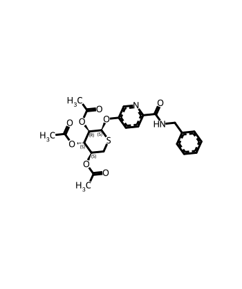 CC(=O)O[C@@H]1[C@@H](OC(C)=O)[C@@H](Oc2ccc(C(=O)NCc3ccccc3)nc2)SC[C@H]1OC(C)=O